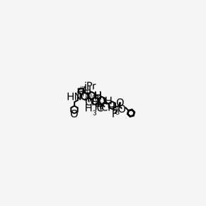 CC(C)[C@@H]1CC[C@]2(NCCC3CCOCC3)CC[C@]3(C)[C@H](CC[C@@H]4[C@@]5(C)CC=C(C6=CC[C@](CF)(C(=O)OCc7ccccc7)CC6)C(C)(C)[C@@H]5CC[C@]43C)[C@@H]12